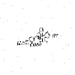 COc1ccc(C2C=C(C)N(c3ccc(C(C)C)cc3)N2C)cc1OC